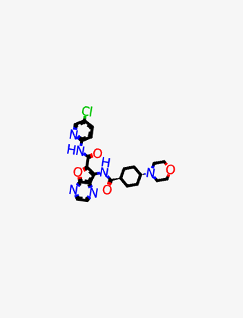 O=C(Nc1ccc(Cl)cn1)c1oc2nccnc2c1NC(=O)[C@H]1CC[C@H](N2CCOCC2)CC1